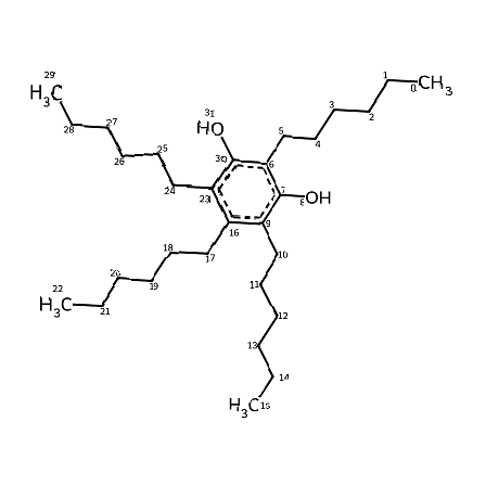 CCCCCCc1c(O)c(CCCCCC)c(CCCCCC)c(CCCCCC)c1O